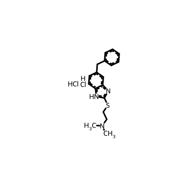 CN(C)CCSc1nc2cc(Cc3ccccc3)ccc2[nH]1.Cl.Cl